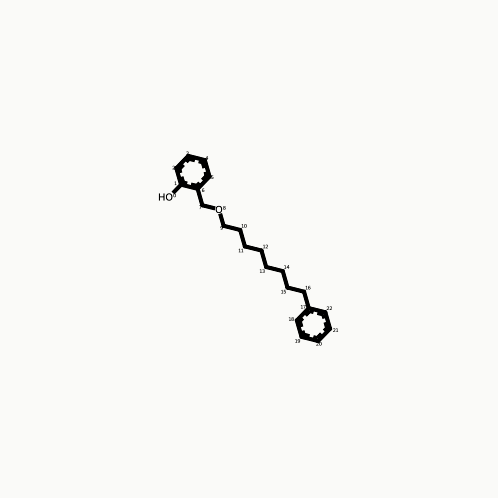 Oc1ccccc1COCCCCCCCCc1ccccc1